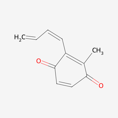 C=C/C=C\C1=C(C)C(=O)C=CC1=O